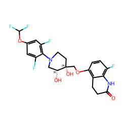 O=C1CCc2c(OC[C@]3(O)CCN(c4c(F)cc(OC(F)F)cc4F)C[C@H]3O)ccc(F)c2N1